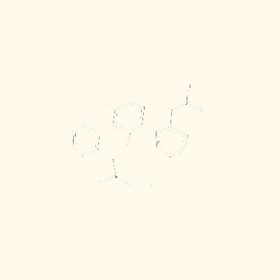 CCCCCc1cc(OC(C(=N)N)c2ccccc2)cc(OC(C(=N)N)c2ccccc2)c1.Cl.Cl